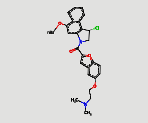 CCCCOc1cc2c(c3ccccc13)[C@H](Cl)CN2C(=O)c1cc2cc(OCCN(C)C)ccc2o1